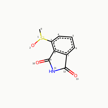 C[S+]([O-])c1cccc2c1C(=O)NC2=O